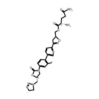 NC(=O)CC[C@H](N)C(=O)OCC1CC(c2ccc(-c3ccc(N4C[C@H](CN5CCN=N5)OC4=O)cc3F)cn2)=NO1